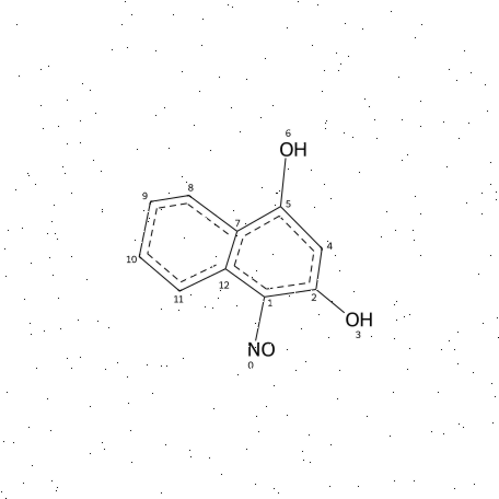 O=Nc1c(O)cc(O)c2ccccc12